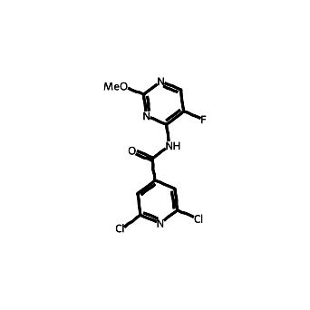 COc1ncc(F)c(NC(=O)c2cc(Cl)nc(Cl)c2)n1